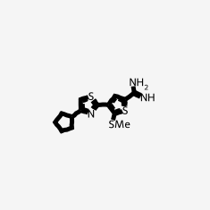 CSc1sc(C(=N)N)cc1-c1nc(C2CCCC2)cs1